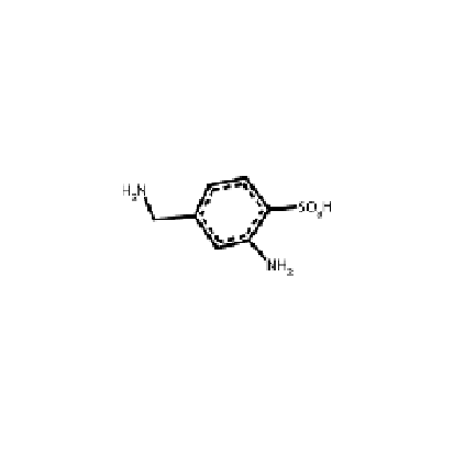 NCc1ccc(S(=O)(=O)O)c(N)c1